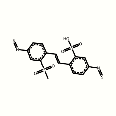 CS(=O)(=O)c1cc(N=S)ccc1/C=C/c1ccc(N=S)cc1S(=O)(=O)O